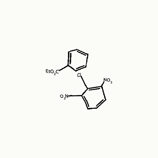 CCOC(=O)c1ccccc1.O=[N+]([O-])c1cccc([N+](=O)[O-])c1Cl